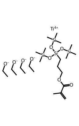 C=C(C)C(=O)OCCC[Si](O[Si](C)(C)C)(O[Si](C)(C)C)O[Si](C)(C)C.CC[O-].CC[O-].CC[O-].CC[O-].[Ti+4]